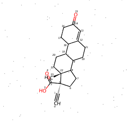 C#C[C@@]1(C(=O)O)CCC2C3CCC4=CC(=O)CCC4C3CC[C@]21C